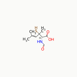 CC(C)=CC(C)(S)[C@@H](NC=O)C(=O)O